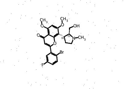 COc1cc(OC)c2c(=O)cc(-c3cc(F)ccc3Br)oc2c1[C@H]1CCN(C)[C@@H]1CO